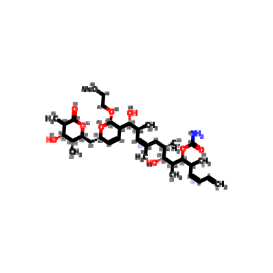 C=C/C=C\C(C)[C@H](OC(N)=O)[C@@H](C)[C@H](O)[C@@H](C)C/C(C)=C\[C@H](C)[C@@H](O)C1C=C[C@H](C[C@@H]2OC(=O)C(C)[C@@H](O)[C@H]2C)O[C@@H]1OCCOC